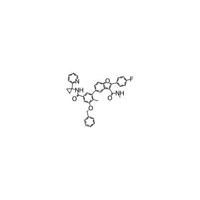 CNC(=O)c1c(-c2ccc(F)cc2)oc2ccc(-c3cc(C(=O)NC4(c5ccccn5)CC4)cc(OCc4ccccc4)c3C)cc12